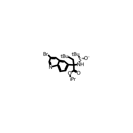 CC(C)OC(=O)C(CC(C)(C)C)(N[S+]([O-])C(C)(C)C)c1ccc2ncc(Br)cc2c1